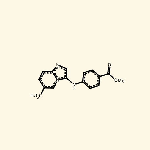 COC(=O)c1ccc(Nc2cnc3ccc(C(=O)O)cn23)cc1